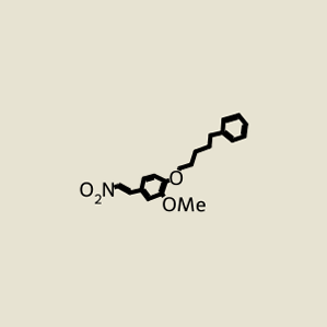 COc1cc(/C=C/[N+](=O)[O-])ccc1OCCCCCc1ccccc1